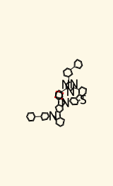 c1ccc(-c2ccc(-n3c4ccccc4c4cc5c(cc43)c3ccccc3n5-c3ccc4sc5cccc(-c6nc(-c7ccccc7)nc(-c7cccc(-c8ccccc8)c7)n6)c5c4c3)cc2)cc1